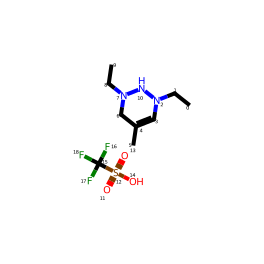 CCN1C=C(C)CN(CC)N1.O=S(=O)(O)C(F)(F)F